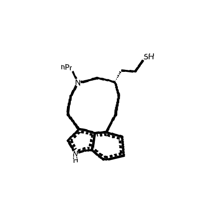 CCCN1CCc2c[nH]c3cccc(c23)CC[C@@H](CCS)C1